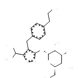 CCCc1ccc(Cc2c(O[C@@H]3O[C@H](CO)[C@@H](O)[C@H](O)[C@H]3O)n[nH]c2C(C)C)cc1